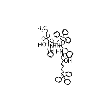 C=CCOC(=O)C[C@H](O)[C@@H](Cc1ccccc1)NC(=O)[C@@H](CSC(c1ccccc1)(c1ccccc1)c1ccccc1)NC(=O)[C@@H](Cc1ccccc1)NC(=O)C[C@H](O)/C=C/CCSC(c1ccccc1)(c1ccccc1)c1ccccc1